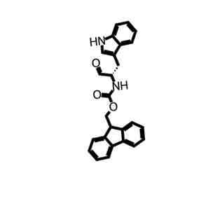 O=C[C@H](Cc1c[nH]c2ccccc12)NC(=O)OCC1c2ccccc2-c2ccccc21